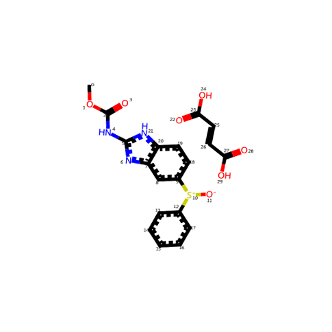 COC(=O)Nc1nc2cc([S+]([O-])c3ccccc3)ccc2[nH]1.O=C(O)/C=C/C(=O)O